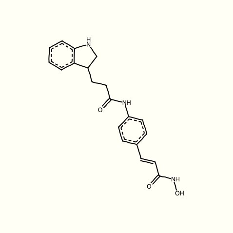 O=C(/C=C/c1ccc(NC(=O)CCC2CNc3ccccc32)cc1)NO